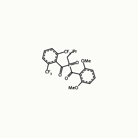 COc1cccc(OC)c1C(=O)P(=O)(CC(C)C)C(=O)c1c(C(F)(F)F)cccc1C(F)(F)F